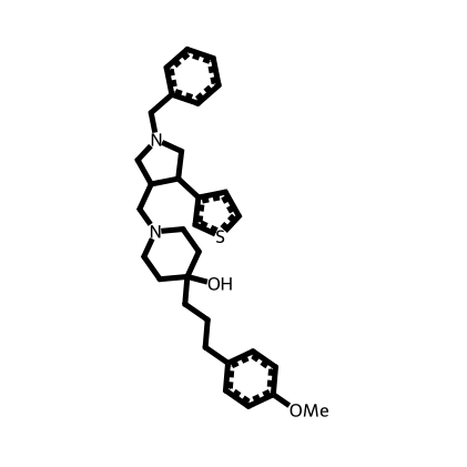 COc1ccc(CCCC2(O)CCN(CC3CN(Cc4ccccc4)CC3c3ccsc3)CC2)cc1